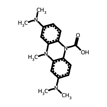 CN(C)c1ccc2c(c1)N(C)c1cc(N(C)C)ccc1N2C(=O)O